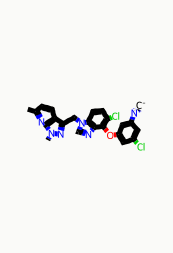 [C-]#[N+]c1cc(Cl)cc(Oc2c(Cl)ccc3c2ncn3Cc2nn(C)c3nc(C)ccc23)c1